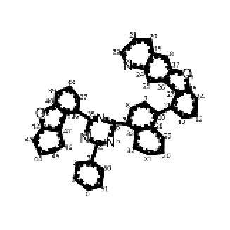 c1ccc(-c2nc(-c3ccc(-c4cccc5oc6cc7cccnc7cc6c45)c4ccccc34)nc(-c3cccc4oc5ccccc5c34)n2)cc1